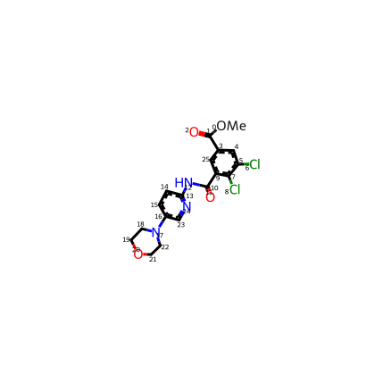 COC(=O)c1cc(Cl)c(Cl)c(C(=O)Nc2ccc(N3CCOCC3)cn2)c1